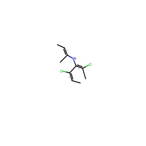 C/C=C(\C)NC(=C(/C)Cl)/C(Cl)=C\C